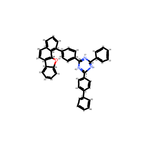 c1ccc(-c2ccc(-c3nc(-c4ccccc4)nc(-c4ccc(-c5cccc6ccc7c8ccccc8oc7c56)cc4)n3)cc2)cc1